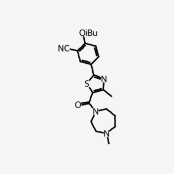 Cc1nc(-c2ccc(OCC(C)C)c(C#N)c2)sc1C(=O)N1CCCN(C)CC1